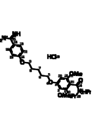 COc1cc(OCCCCCOc2ccc(C(=N)N)cc2)cc(OC)c1C(=O)N(C(C)C)C(C)C.Cl